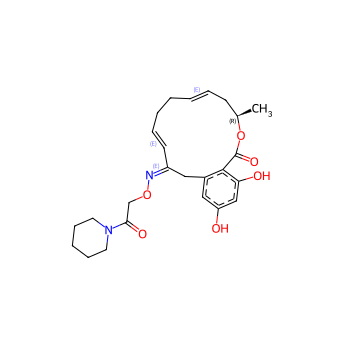 C[C@@H]1C/C=C/CC/C=C/C(=N/OCC(=O)N2CCCCC2)Cc2cc(O)cc(O)c2C(=O)O1